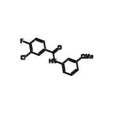 COc1cccc(NC(=O)c2ccc(F)c(Cl)c2)c1